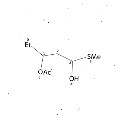 CCC(CC(O)SC)OC(C)=O